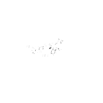 CCOC(Cc1ccc(OCCN(CCOCC(C)(F)F)C(=O)Oc2cc(C)ccc2OC)cc1)C(=O)O